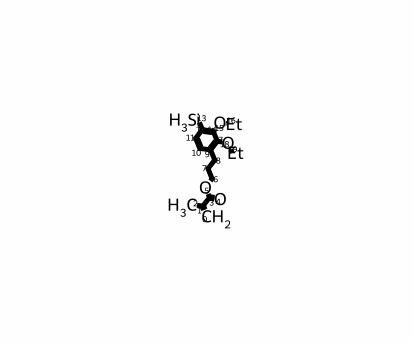 C=C(C)C(=O)OCCCc1ccc([SiH3])c(OCC)c1OCC